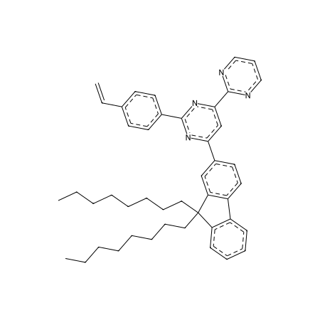 C=Cc1ccc(-c2nc(-c3ccc4c(c3)C(CCCCCCCC)(CCCCCCCC)c3ccccc3-4)cc(-c3ncccn3)n2)cc1